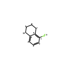 Fc1cccc2c1CC[C]C2